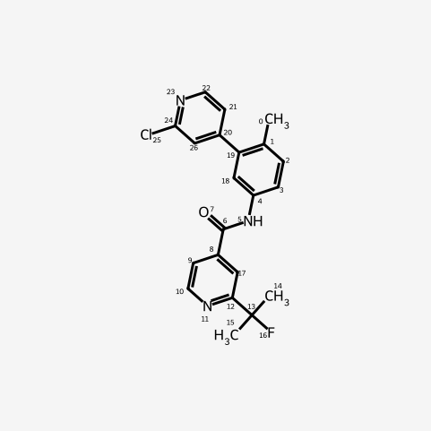 Cc1ccc(NC(=O)c2ccnc(C(C)(C)F)c2)cc1-c1ccnc(Cl)c1